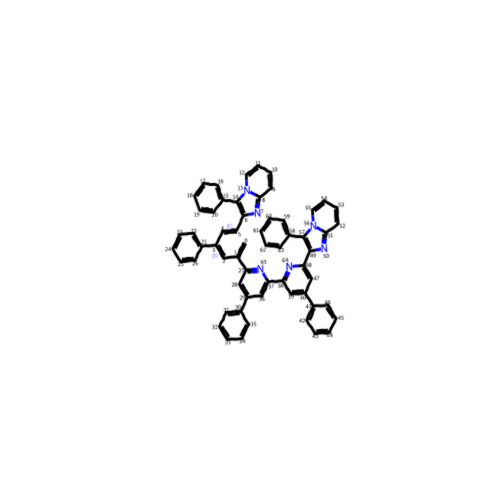 C=C(/C=C(\C=C\c1nc2ccccn2c1-c1ccccc1)c1ccccc1)c1cc(-c2ccccc2)cc(-c2cc(-c3ccccc3)cc(-c3nc4ccccn4c3-c3ccccc3)n2)n1